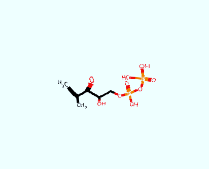 C=C(C)C(=O)C(O)COP(=O)(O)OP(=O)(O)O